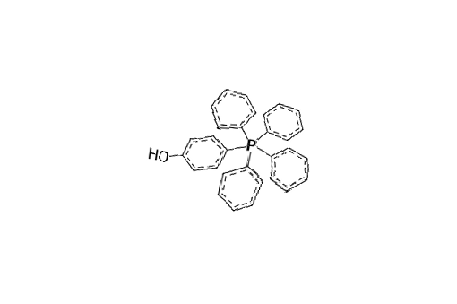 Oc1ccc(P(c2ccccc2)(c2ccccc2)(c2ccccc2)c2ccccc2)cc1